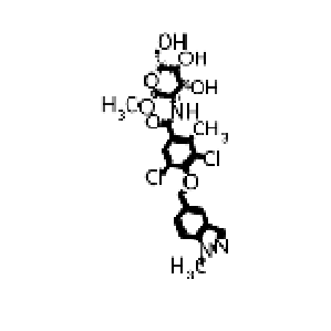 CO[C@H]1O[C@H](CO)[C@@H](O)[C@H](O)[C@H]1NC(=O)c1cc(Cl)c(OCc2ccc3c(cnn3C)c2)c(Cl)c1C